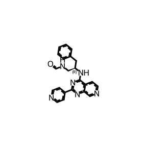 O=CNC[C@@H](Cc1ccccc1)Nc1nc(-c2ccncc2)nc2cnccc12